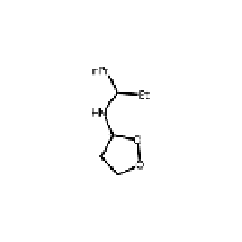 CCCC(CC)N[C]1CCOO1